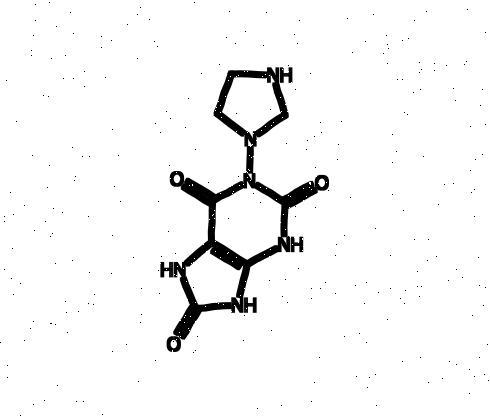 O=c1[nH]c2[nH]c(=O)n(N3CCNC3)c(=O)c2[nH]1